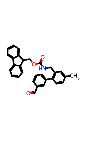 Cc1ccc(-c2cccc(C=O)c2)c(CNC(=O)OCC2c3ccccc3-c3ccccc32)c1